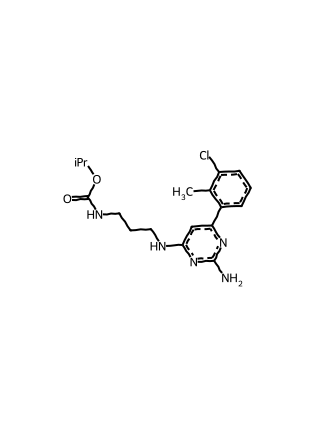 Cc1c(Cl)cccc1-c1cc(NCCCNC(=O)OC(C)C)nc(N)n1